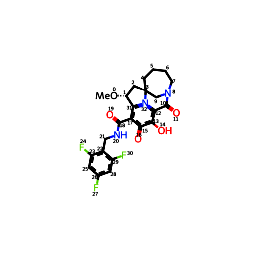 CO[C@@H]1C[C@@]23CCCCN(C2)C(=O)c2c(O)c(=O)c(C(=O)NCc4c(F)cc(F)cc4F)c1n23